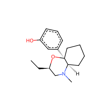 CC[C@@H]1CN(C)[C@@H]2CCCC[C@]2(c2cccc(O)c2)O1